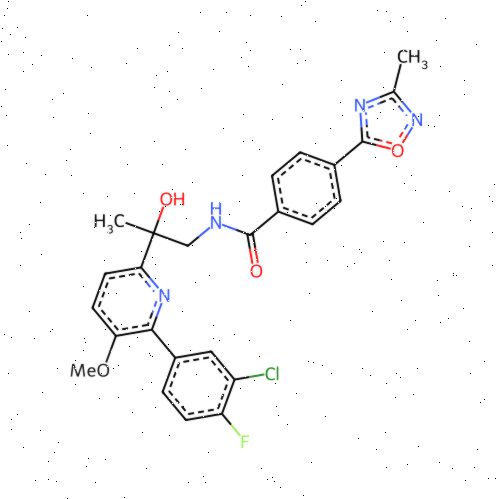 COc1ccc(C(C)(O)CNC(=O)c2ccc(-c3nc(C)no3)cc2)nc1-c1ccc(F)c(Cl)c1